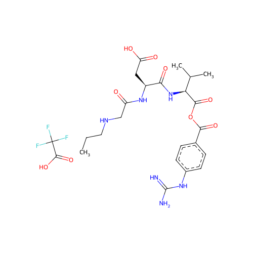 CCCNCC(=O)N[C@@H](CC(=O)O)C(=O)N[C@H](C(=O)OC(=O)c1ccc(NC(=N)N)cc1)C(C)C.O=C(O)C(F)(F)F